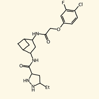 CCC1CC(C(=O)NC2CC(NC(=O)COc3ccc(Cl)c(F)c3)C3CC2C3)NN1